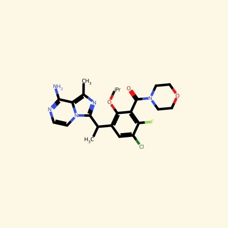 Cc1nc(C(C)c2cc(Cl)c(F)c(C(=O)N3CCOCC3)c2OC(C)C)n2ccnc(N)c12